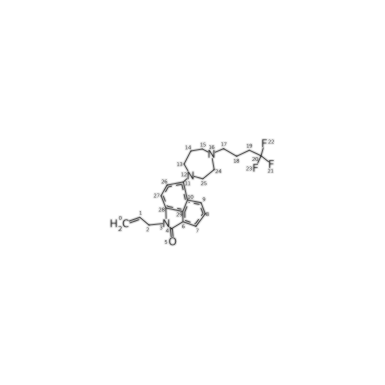 C=CCN1C(=O)c2cccc3c(N4CCCN(CCCC(F)(F)F)CC4)ccc1c23